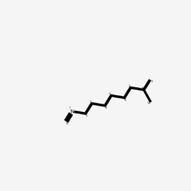 C=NCCCCCCC(C)C